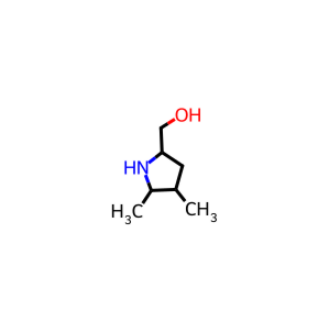 CC1CC(CO)NC1C